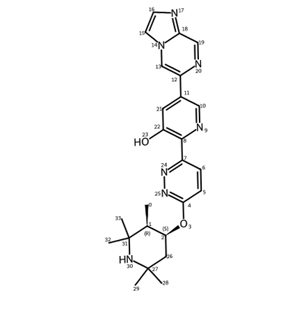 C[C@H]1[C@@H](Oc2ccc(-c3ncc(-c4cn5ccnc5cn4)cc3O)nn2)CC(C)(C)NC1(C)C